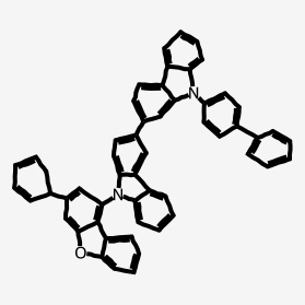 C1=CCC(c2cc(-n3c4ccccc4c4cc(-c5ccc6c7ccccc7n(-c7ccc(-c8ccccc8)cc7)c6c5)ccc43)c3c(c2)oc2ccccc23)C=C1